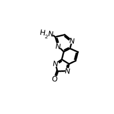 Nc1cnc2ccc3c(c2n1)=NC(=O)N=3